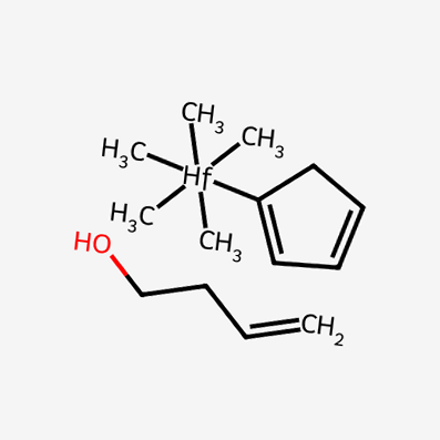 C=CCCO.[CH3][Hf]([CH3])([CH3])([CH3])([CH3])[C]1=CC=CC1